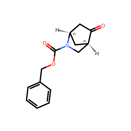 O=C1C[C@H]2C[C@@H]1CN2C(=O)OCc1ccccc1